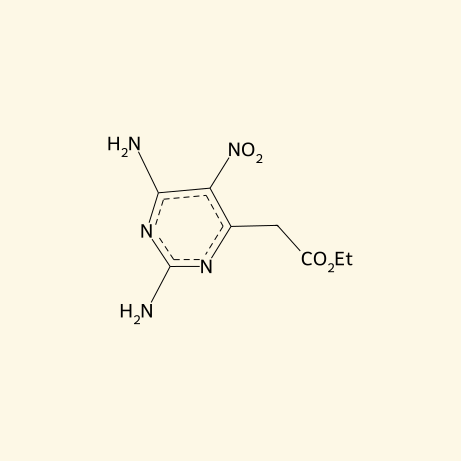 CCOC(=O)Cc1nc(N)nc(N)c1[N+](=O)[O-]